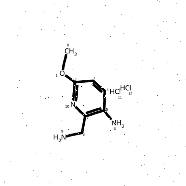 COc1ccc(N)c(CN)n1.Cl.Cl